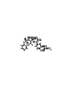 CC(C)C(NS(=O)(=O)Cc1ccccc1)P(=O)(O)OC(C(=O)O)c1cccc(NC(=N)N)c1